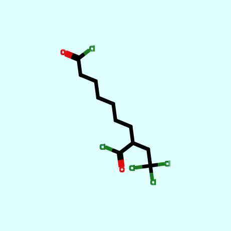 O=C(Cl)CCCCCCC(CC(Cl)(Cl)Cl)C(=O)Cl